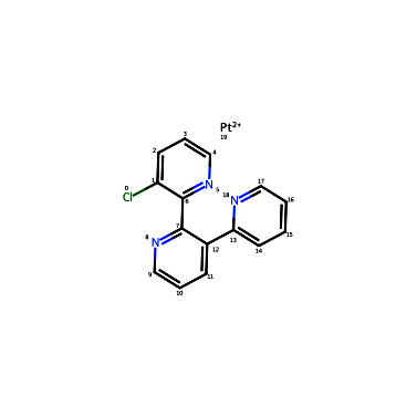 Clc1cccnc1-c1ncccc1-c1ccccn1.[Pt+2]